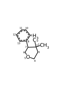 CC1(C)CCOCC1c1ccccc1